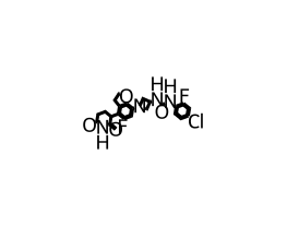 O=C1CCC(c2c(F)cc(N3CC(NC(=O)Nc4ccc(Cl)cc4F)C3)c3c2CCO3)C(=O)N1